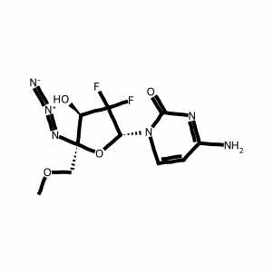 COC[C@@]1(N=[N+]=[N-])O[C@@H](n2ccc(N)nc2=O)C(F)(F)[C@@H]1O